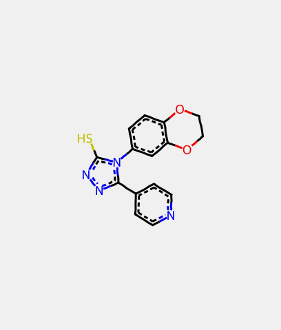 Sc1nnc(-c2ccncc2)n1-c1ccc2c(c1)OCCO2